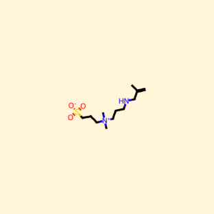 C=C(C)CNCCC[N+](C)(C)CCCS(=O)(=O)[O-]